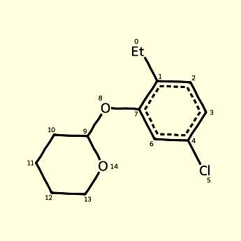 CCc1ccc(Cl)cc1OC1CCCCO1